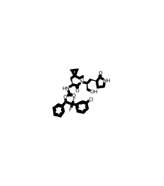 CCC1(C[C@H](NC(=O)OC(c2ccccc2)C(F)(F)c2cccc(Cl)c2)C(=O)N[C@H](CO)C[C@@H]2CCNC2=O)CC1